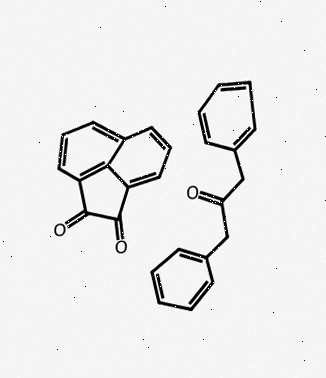 O=C(Cc1ccccc1)Cc1ccccc1.O=C1C(=O)c2cccc3cccc1c23